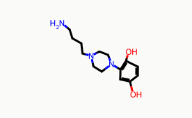 NCCCCN1CCN(c2cc(O)ccc2O)CC1